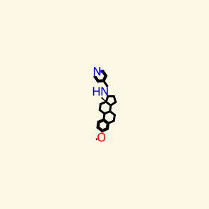 COc1ccc2c(c1)CCC1C2CC[C@@]2(C)C1CC[C@@H]2NCc1ccncc1